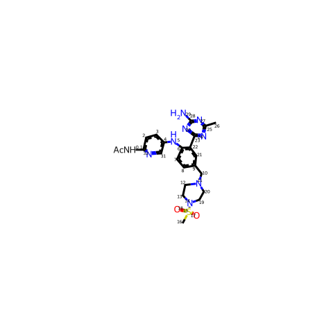 CC(=O)Nc1ccc(Nc2ccc(CN3CCN(S(C)(=O)=O)CC3)cc2-c2nc(C)nc(N)n2)cn1